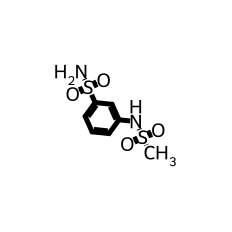 CS(=O)(=O)Nc1cccc(S(N)(=O)=O)c1